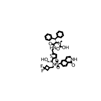 CN(C(=O)O)[C@H](C(=O)NCc1ccc([C@@H](CO)N(CC2CC(F)(F)C2)S(=O)(=O)c2ccc3c(=O)[nH]ccc3c2)s1)C(c1ccccc1)c1ccccc1